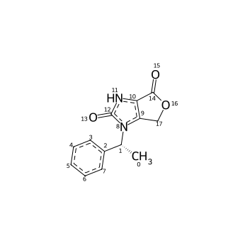 C[C@H](c1ccccc1)n1c2c([nH]c1=O)C(=O)OC2